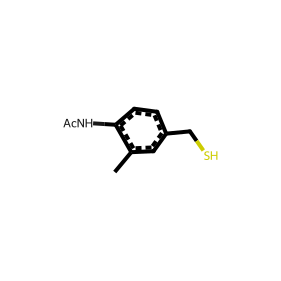 CC(=O)Nc1ccc(CS)cc1C